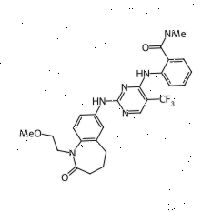 CNC(=O)c1ccccc1Nc1nc(Nc2ccc3c(c2)CCCC(=O)N3CCOC)ncc1C(F)(F)F